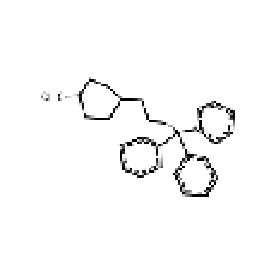 O=CC1CCC(CCOC(c2ccccc2)(c2ccccc2)c2ccccc2)CC1